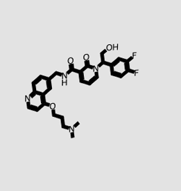 CN(C)CCCOc1ccnc2ccc(CNC(=O)c3cccn(C(CO)c4ccc(F)c(F)c4)c3=O)cc12